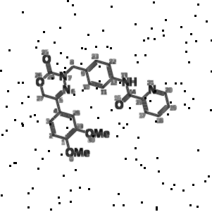 COc1ccc(C2=NN(Cc3ccc(NC(=O)c4ccccn4)cc3)C(=O)OC2)cc1OC